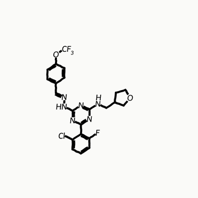 Fc1cccc(Cl)c1-c1nc(NCC2CCOC2)nc(NN=Cc2ccc(OC(F)(F)F)cc2)n1